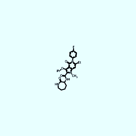 CCc1cc2c(c(OC(C)C)c(C(=O)NC3CCCCNC3=O)n2C)c(=O)n1-c1ccc(F)cc1